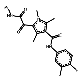 Cc1cc(NC(=O)c2c(C)c(C(=O)C(=O)NC(C)C)n(C)c2C)ccc1F